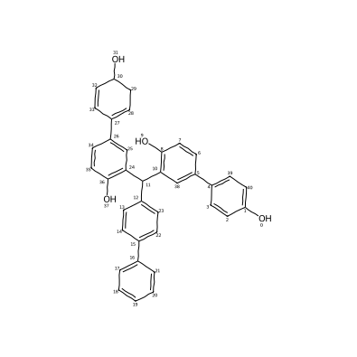 Oc1ccc(-c2ccc(O)c(C(c3ccc(-c4ccccc4)cc3)c3cc(C4=CCC(O)C=C4)ccc3O)c2)cc1